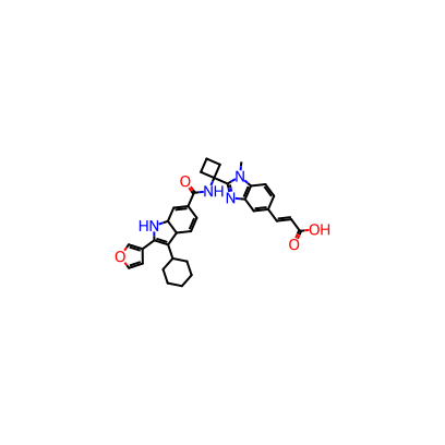 Cn1c(C2(NC(=O)C3=CC4NC(c5ccoc5)=C(C5CCCCC5)C4C=C3)CCC2)nc2cc(/C=C/C(=O)O)ccc21